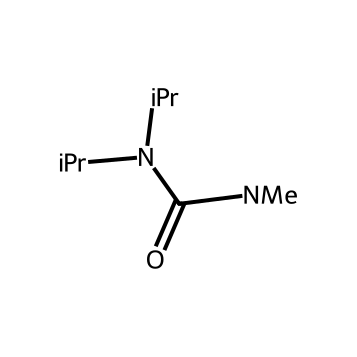 CNC(=O)N(C(C)C)C(C)C